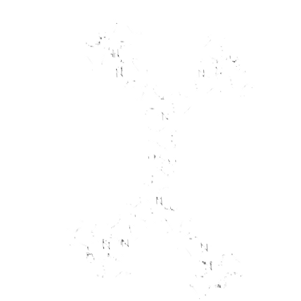 O=S(=O)(c1ccc(-n2c3ccc(-c4ccc(N5c6ccccc6Oc6ccccc65)nc4)cc3c3cc(-c4ccc(N5c6ccccc6Oc6ccccc65)nc4)ccc32)cc1)c1ccc(-n2c3ccc(-c4ccc(N5c6ccccc6Oc6ccccc65)nc4)cc3c3cc(-c4ccc(N5c6ccccc6Oc6ccccc65)nc4)ccc32)cc1